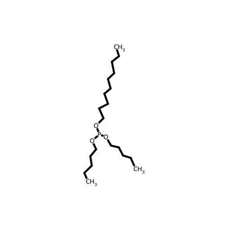 CCCCCCCCCCOP(OCCCCC)OCCCCC